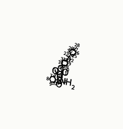 COC(OC(=O)c1ccccc1S(N)(=O)=O)Oc1ccc(C(C)(C)c2ccc(C)cc2)cc1